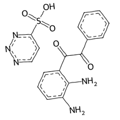 Nc1cccc(C(=O)C(=O)c2ccccc2)c1N.O=S(=O)(O)c1ccnnn1